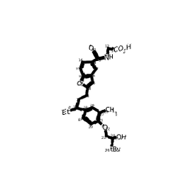 CCC(CCc1cc2cc(C(=O)NCC(=O)O)ccc2o1)c1ccc(OCC(O)C(C)(C)C)c(C)c1